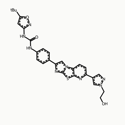 CC(C)(C)c1cc(NC(=O)Nc2ccc(-c3cn4c(n3)sc3nc(-c5cnn(CCO)c5)ccc34)cc2)no1